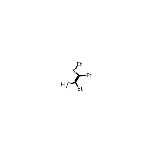 CCS/C(=C(\C)CC)C(C)C